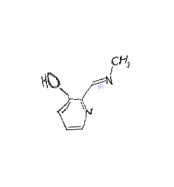 C/N=C/c1ncccc1O